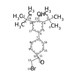 CC(C)(C)c1cc(-c2ccc(C(=O)CBr)cc2)cc(C(C)(C)C)c1O